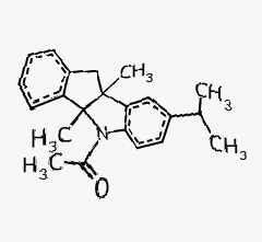 CC(=O)N1c2ccc(C(C)C)cc2C2(C)Cc3ccccc3C12C